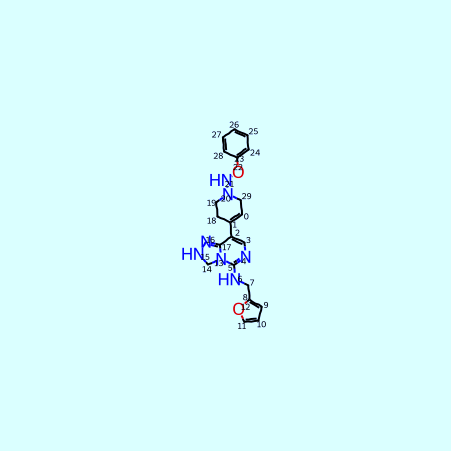 C1=C(C2=CN=C(NCc3ccco3)N3CNN=C23)CCN(NOc2ccccc2)C1